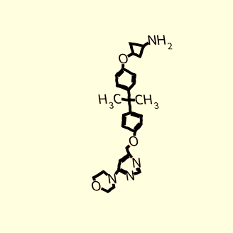 CC(C)(c1ccc(OCc2cc(N3CCOCC3)ncn2)cc1)c1ccc(OC2CC(N)C2)cc1